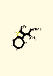 CCCc1sc2c(c1C(C)CNC)CCCCC2